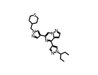 CCC(CC)n1cc(-c2nc(-c3cnn(CC4CCSCC4)c3)cn3nccc23)cn1